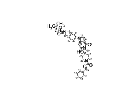 CC(C)(C)OC(=O)NCc1ccc(-n2cnc3c(=O)n(CC4(O)CCN(C(=O)OCc5ccccc5)CC4)cnc32)cc1